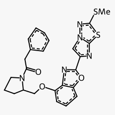 CSc1nn2cc(-c3nc4c(OCC5CCCN5C(=O)Cc5ccccc5)cccc4o3)nc2s1